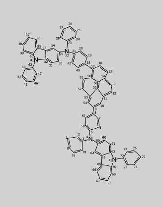 c1ccc(N(c2ccc(-c3cc4ccc5ccc(-c6ccc(N(c7ccccc7)c7ccc8c(c7)c7ccccc7n8-c7ccccc7)cc6)c6ccc(c3)c4c56)cc2)c2ccc3c(c2)c2ccccc2n3-c2ccccc2)cc1